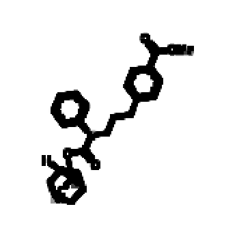 COC(=O)c1ccc(CCCN(C(=O)O[C@H]2CN3CCC2CC3)c2ccccc2)cc1